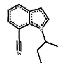 CCC(C)n1ccc2cccc(C#N)c21